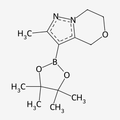 Cc1nn2c(c1B1OC(C)(C)C(C)(C)O1)COCC2